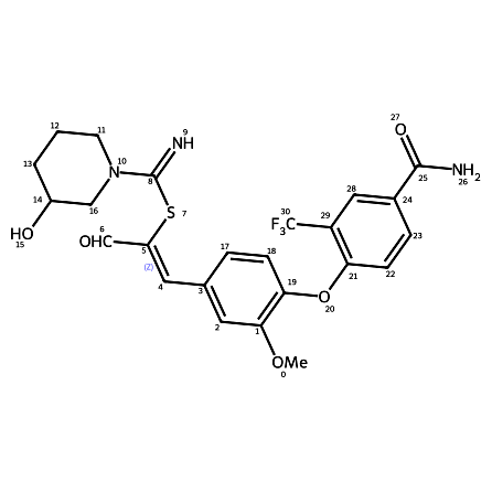 COc1cc(/C=C(/C=O)SC(=N)N2CCCC(O)C2)ccc1Oc1ccc(C(N)=O)cc1C(F)(F)F